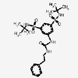 CC(C)(C)NS(=O)(=O)c1cc(NC(=O)NCCc2ccccc2)cc(S(=O)(=O)NC(C)(C)C)c1